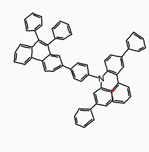 c1ccc(-c2cccc(N(c3ccc(-c4ccc5c(c4)c(-c4ccccc4)c(-c4ccccc4)c4ccccc45)cc3)c3ccc(-c4ccccc4)cc3-c3ccccc3)c2)cc1